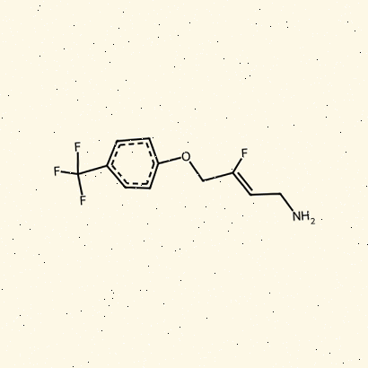 NC/C=C(\F)COc1ccc(C(F)(F)F)cc1